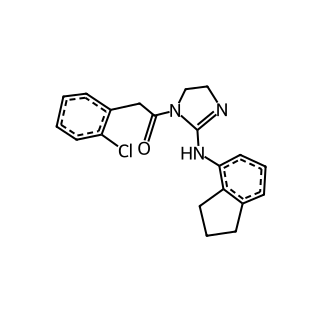 O=C(Cc1ccccc1Cl)N1CCN=C1Nc1cccc2c1CCC2